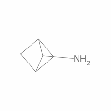 NC1C2CC1C2